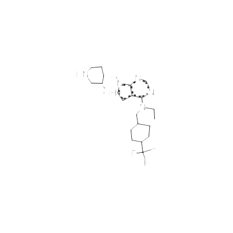 CCN(CC1CCC(C(F)(F)F)CC1)c1ncnc2c1ccn2C[C@H]1CCNC[C@@H]1O